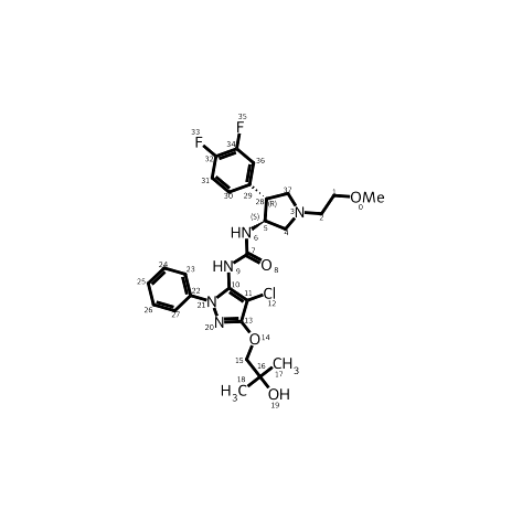 COCCN1C[C@@H](NC(=O)Nc2c(Cl)c(OCC(C)(C)O)nn2-c2ccccc2)[C@H](c2ccc(F)c(F)c2)C1